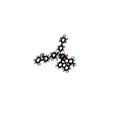 Cc1ccc2c(c1)C1(c3cc(F)ccc3-2)c2c(F)cccc2-c2cccc(-c3cccc(N(c4ccc(-c5ccccc5)cc4)c4ccc(-c5ccc6c(c5)oc5ccccc56)cc4)c3)c21